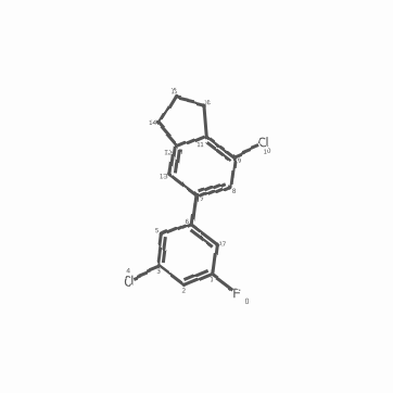 Fc1cc(Cl)cc(-c2cc(Cl)c3c(c2)CCC3)c1